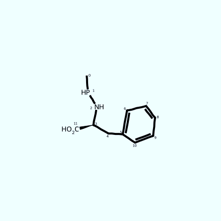 CPN[C@@H](Cc1ccccc1)C(=O)O